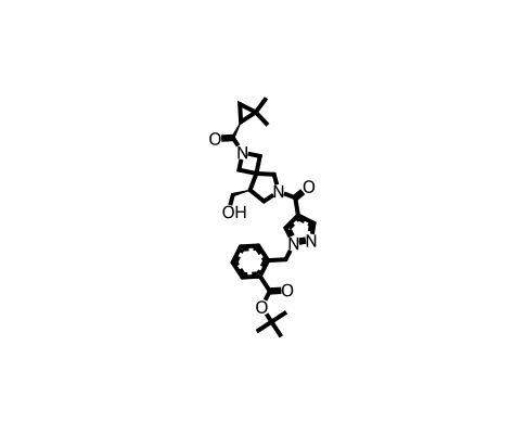 CC(C)(C)OC(=O)c1ccccc1Cn1cc(C(=O)N2C[C@@H](CO)C3(C2)CN(C(=O)[C@H]2CC2(C)C)C3)cn1